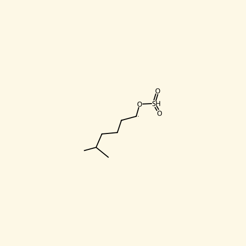 CC(C)CCC[CH]O[SH](=O)=O